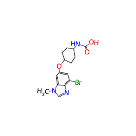 Cn1cnc2c(Br)cc(OC3CCC(NC(=O)O)CC3)cc21